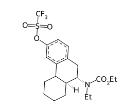 CCOC(=O)N(CC)[C@H]1Cc2ccc(OS(=O)(=O)C(F)(F)F)cc2C2CCCC[C@@H]21